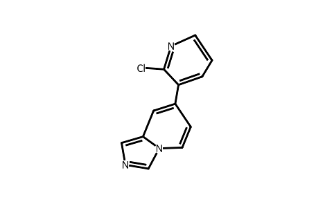 Clc1ncccc1-c1ccn2cncc2c1